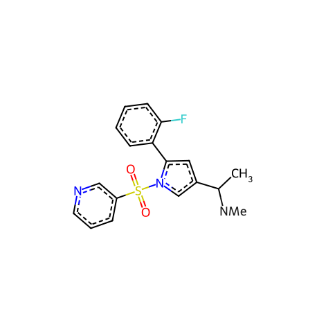 CNC(C)c1cc(-c2ccccc2F)n(S(=O)(=O)c2cccnc2)c1